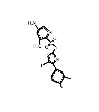 Cc1cc(N)cnc1S(=O)(=O)Nc1nc(-c2ccc(F)c(F)c2)c(F)s1